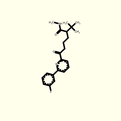 CNC(=O)C(CCCC(=O)c1cccc(-c2cccc(F)c2)n1)C(C)(C)C